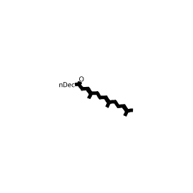 CCCCCCCCCCC(=O)C/C=C(\C)CC/C=C(\C)CCC=C(C)C